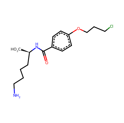 NCCCC[C@H](NC(=O)c1ccc(OCCCCl)cc1)C(=O)O